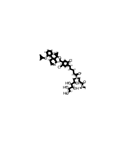 CN(C)C(=O)CCN(CC(O)C(O)C(O)C(O)CO)C(=O)CCCCc1cc(Cl)c(COC2(c3cnccc3-c3ccccc3OC3CC3)CC2)cc1Cl